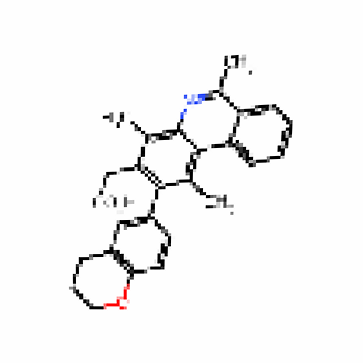 Cc1nc2c(C)c(CC(=O)O)c(-c3ccc4c(c3)CCCO4)c(C)c2c2ccccc12